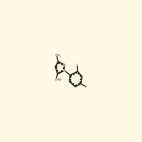 Cc1cc(C=O)n(-c2ccc(F)cc2I)n1